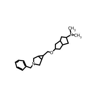 CN(C)C1CC2CC(OCC3C4CN(Cc5ccccc5)CC34)CC2C1